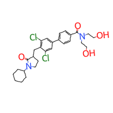 O=C(c1ccc(-c2cc(Cl)c(CC3CCN(C4CCCCC4)C3=O)c(Cl)c2)cc1)N(CCO)CCO